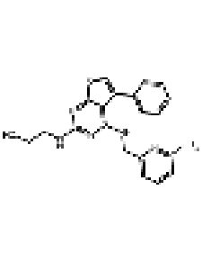 Cc1cccc(CNc2nc(NCCO)nc3scc(-c4ccccc4)c23)n1